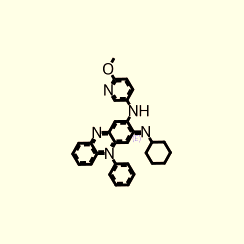 COc1ccc(Nc2cc3nc4ccccc4n(-c4ccccc4)c-3c/c2=N\C2CCCCC2)cn1